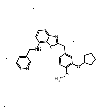 COc1ccc(Cc2nc3cccc(NCc4cccnc4)c3o2)cc1OC1CCCC1